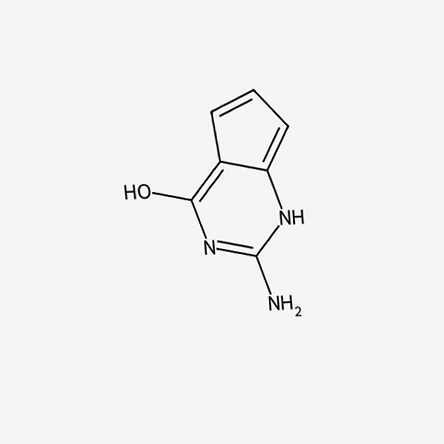 Nc1nc(O)c2cccc-2[nH]1